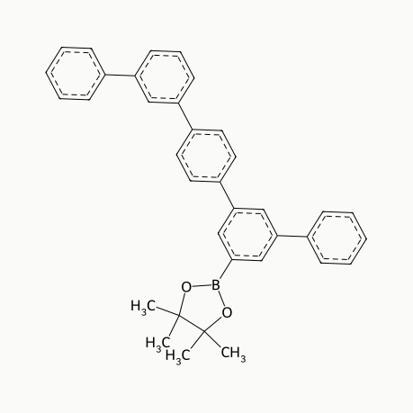 CC1(C)OB(c2cc(-c3ccccc3)cc(-c3ccc(-c4cccc(-c5ccccc5)c4)cc3)c2)OC1(C)C